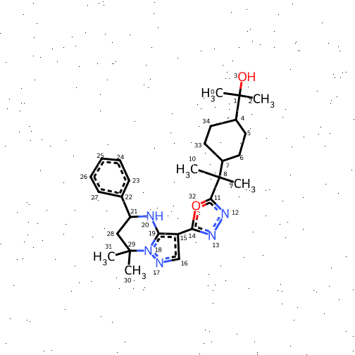 CC(C)(O)C1CCC(C(C)(C)c2nnc(-c3cnn4c3NC(c3ccccc3)CC4(C)C)o2)CC1